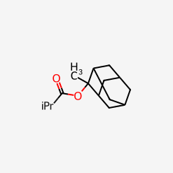 CC(C)C(=O)OC1(C)C2CC3CC(C2)CC1C3